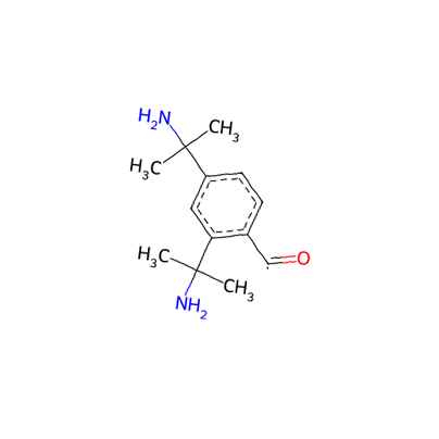 CC(C)(N)c1ccc([C]=O)c(C(C)(C)N)c1